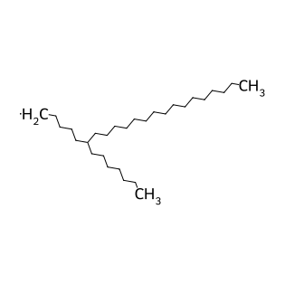 [CH2]CCCCC(CCCCCCC)CCCCCCCCCCCCCCCC